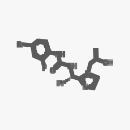 C=C(O)Cn1ccnc1[C@@H](NC(=O)Nc1ccc(Br)cc1F)C(C)C